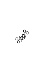 COC(=O)c1cc2nc(C(=O)OC)c(C)cn2n1